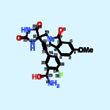 COc1ccc2c(c1)C(=O)N(C[C@@]1(C#Cc3ccc(F)c(C(N)O)c3)NC(=O)NC1=O)C2